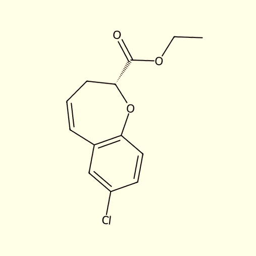 CCOC(=O)[C@H]1CC=Cc2cc(Cl)ccc2O1